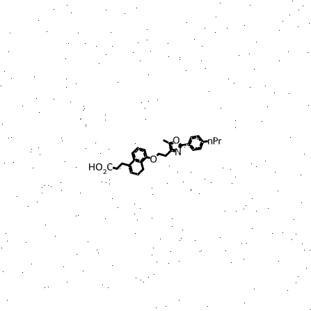 CCCc1ccc(-c2nc(CCOc3cccc4c3CCC=C4CCC(=O)O)c(C)o2)cc1